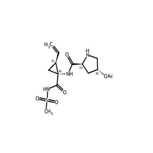 C=C[C@@H]1C[C@]1(NC(=O)[C@@H]1C[C@@H](OC(C)=O)CN1)C(=O)NS(C)(=O)=O